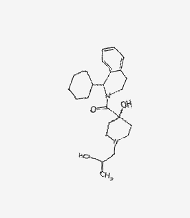 CC(O)CN1CCC(O)(C(=O)N2CCc3ccccc3C2C2CCCCC2)CC1